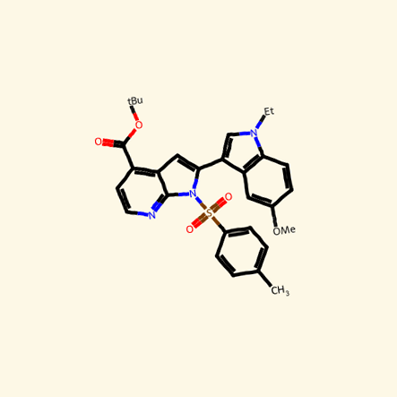 CCn1cc(-c2cc3c(C(=O)OC(C)(C)C)ccnc3n2S(=O)(=O)c2ccc(C)cc2)c2cc(OC)ccc21